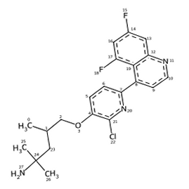 CC(COc1ccc(-c2ccnc3cc(F)cc(F)c23)nc1Cl)CC(C)(C)N